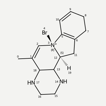 CC1=C[N@+]2(Br)C3=C(CCC=C3)C[C@H]2C2NCCNC12